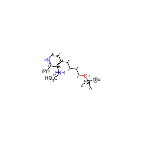 CC(C)c1nccc(CCCCO[Si](C)(C)C(C)(C)C)c1NC(=O)O